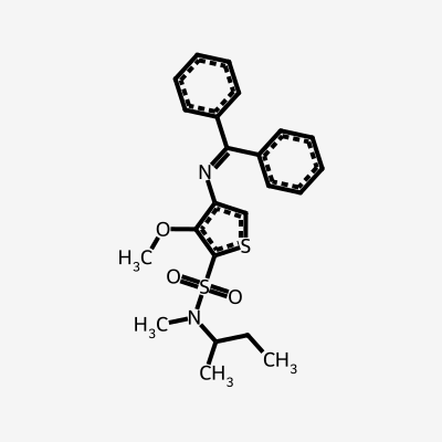 CCC(C)N(C)S(=O)(=O)c1scc(N=C(c2ccccc2)c2ccccc2)c1OC